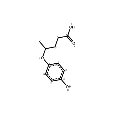 CC(CCC(=O)O)Oc1ccc(O)cc1